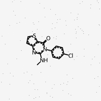 CNc1nc2ccsc2c(=O)n1-c1ccc(Cl)cc1